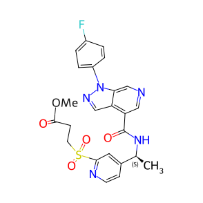 COC(=O)CCS(=O)(=O)c1cc([C@H](C)NC(=O)c2cncc3c2cnn3-c2ccc(F)cc2)ccn1